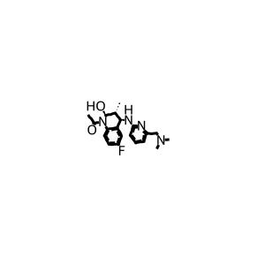 CC(=O)N1c2ccc(F)cc2[C@H](Nc2cccc(CN(C)C)n2)[C@@H](C)[C@@H]1O